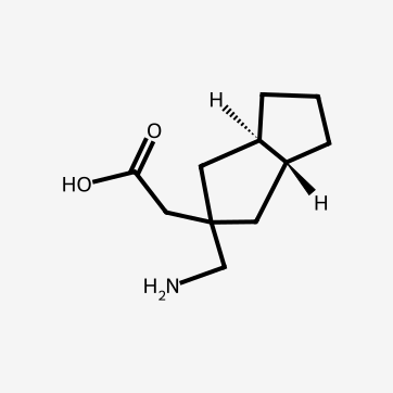 NCC1(CC(=O)O)C[C@H]2CCC[C@@H]2C1